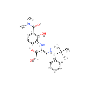 CN(C)C(=O)c1cccc(N/C(=C\N[C@@H](c2ccccc2)C(C)(C)C)C(=O)C=O)c1O